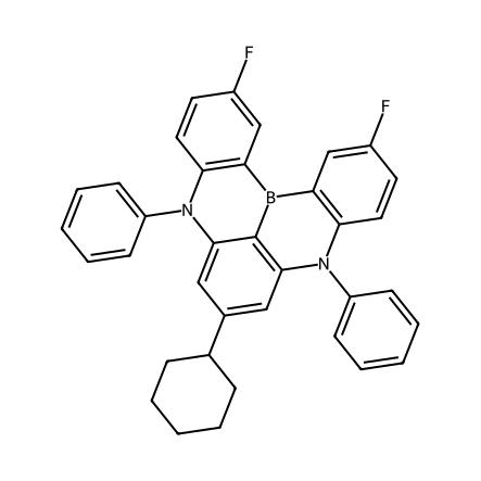 Fc1ccc2c(c1)B1c3cc(F)ccc3N(c3ccccc3)c3cc(C4CCCCC4)cc(c31)N2c1ccccc1